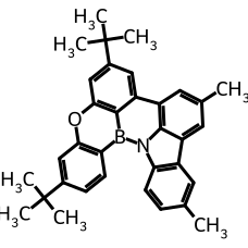 Cc1ccc2c(c1)c1cc(C)cc3c1n2B1c2ccc(C(C)(C)C)cc2Oc2cc(C(C)(C)C)cc-3c21